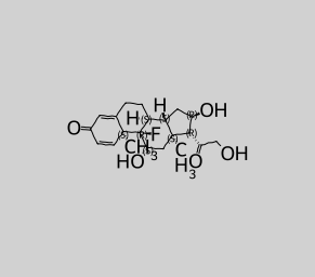 C[C@]12C[C@H](O)[C@@]3(F)[C@@H](CCC4=CC(=O)C=C[C@@]43C)[C@@H]1C[C@@H](O)[C@@H]2C(=O)CO